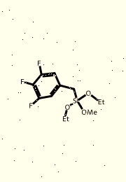 CCO[Si](Cc1cc(F)c(F)c(F)c1)(OC)OCC